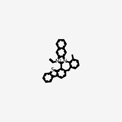 C=C[n+]1c(-c2c(C)ccc3c2sc2ccccc23)n(-c2c(C)cccc2C)c2cc3ccccc3cc21